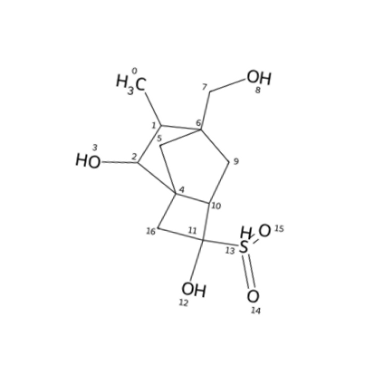 CC1C(O)C23CC1(CO)CC2C(O)([SH](=O)=O)C3